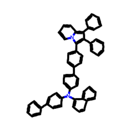 c1ccc(-c2ccc(N(c3ccc(-c4ccc(-c5c(-c6ccccc6)c(-c6ccccc6)c6ccccn56)cc4)cc3)c3cccc4ccccc34)cc2)cc1